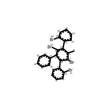 Cc1c(Br)c(-c2ccccc2Br)c(-c2ccccc2)c(Br)c1-c1ccccc1Br